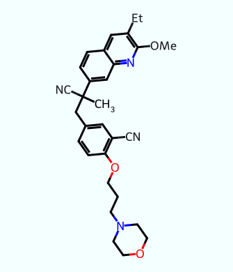 CCc1cc2ccc(C(C)(C#N)Cc3ccc(OCCCN4CCOCC4)c(C#N)c3)cc2nc1OC